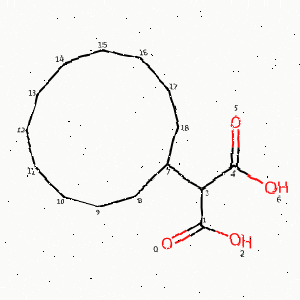 O=C(O)C(C(=O)O)C1CCCCCCCCCCC1